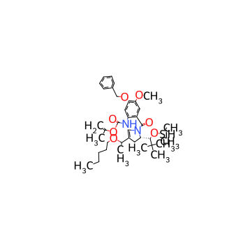 C=C(C)OC(=O)Nc1cc(OCc2ccccc2)c(OC)cc1C(=O)N1C=C(C(C)OCCCCC)C[C@H]1C(O[SiH](C)C)C(C)(C)C